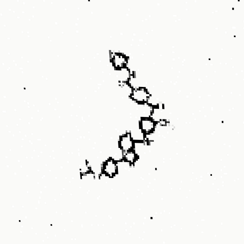 Cc1cc(Nc2nccn3c(-c4ccc(OC(F)F)cc4)ncc23)ccc1C(=O)N1CCN(C(=O)Nc2ccncc2)CC1